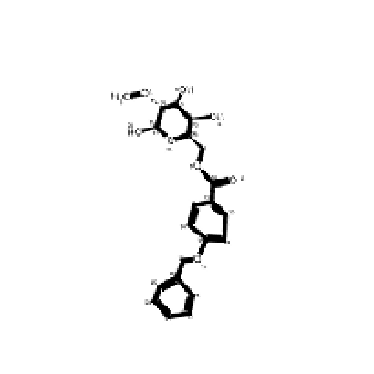 CO[C@@H]1[C@@H](O)[C@@H](O)[C@@H](COC(=O)c2ccc(OCc3ccccc3)cc2)O[C@H]1O